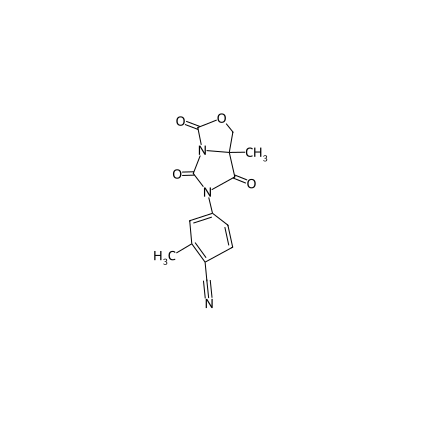 Cc1cc(N2C(=O)N3C(=O)OCC3(C)C2=O)ccc1C#N